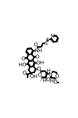 CO[C@H]1OCCN2[C@@H]1O[C@@H]1[C@H](C)O[C@@H](O[C@H]3C[C@](O)(C(C)=O)Cc4c(O)c5c(c(O)c43)C(=O)c3c(NC(=O)CCSSc4ccccn4)cccc3C5=O)C[C@@H]12